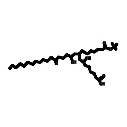 CCCCCCCCCCCOC(=O)CCCC(O)CN(CCCCCCC(=O)OC(C)(C)C)CC(O)CCCCCC(=O)O